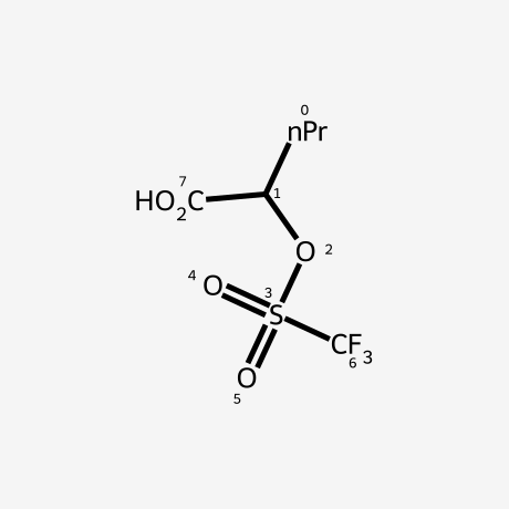 CCCC(OS(=O)(=O)C(F)(F)F)C(=O)O